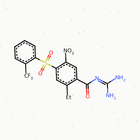 CCc1cc(S(=O)(=O)c2ccccc2C(F)(F)F)c([N+](=O)[O-])cc1C(=O)N=C(N)N